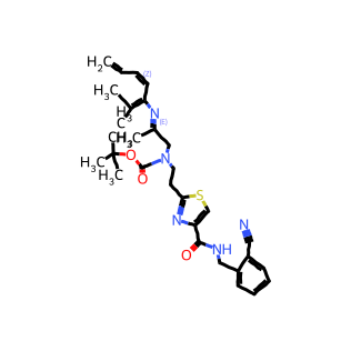 C=C/C=C\C(/N=C(\C)CN(CCc1nc(C(=O)NCc2ccccc2C#N)cs1)C(=O)OC(C)(C)C)=C(C)C